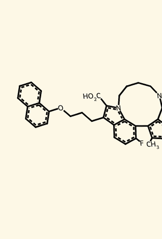 Cc1[nH]nc2c1-c1c(F)ccc3c(CCCOc4cccc5ccccc45)c(C(=O)O)n(c13)CCCCNC2